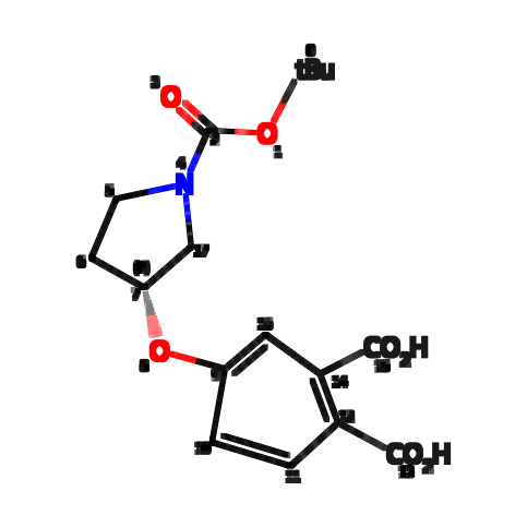 CC(C)(C)OC(=O)N1CC[C@@H](Oc2ccc(C(=O)O)c(C(=O)O)c2)C1